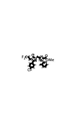 COC(=O)c1nc(Cn2nc(-c3ccc(Cl)cc3)n(CCC(F)(F)F)c2=O)nn1-c1ncccc1C